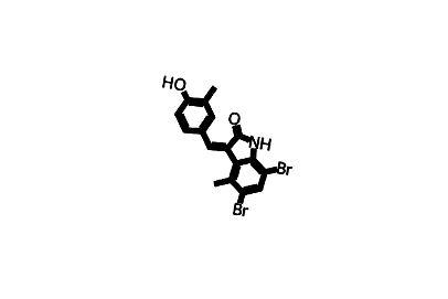 Cc1cc(C=C2C(=O)Nc3c(Br)cc(Br)c(C)c32)ccc1O